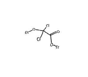 CCOC(=O)C(Cl)(Cl)OCC